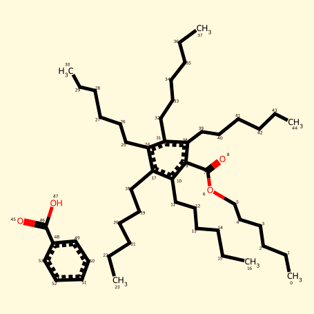 CCCCCCOC(=O)c1c(CCCCCC)c(CCCCCC)c(CCCCCC)c(CCCCCC)c1CCCCCC.O=C(O)c1ccccc1